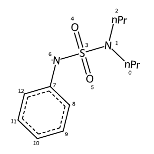 CCCN(CCC)S(=O)(=O)[N]c1ccccc1